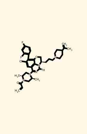 [2H]C1N=C(N2C[C@@H](C)N(C(=O)C=C)C[C@@H]2C)c2cc(Cl)c(-c3ccc(F)cc3F)c3c2N1[C@H](CCCN1CCC(C(=C)C)CC1)CO3